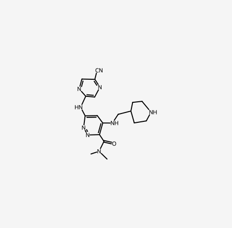 CN(C)C(=O)c1nnc(Nc2cnc(C#N)cn2)cc1NCC1CCNCC1